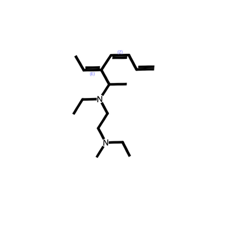 C=C/C=C\C(=C/C)C(C)N(CC)CCN(C)CC